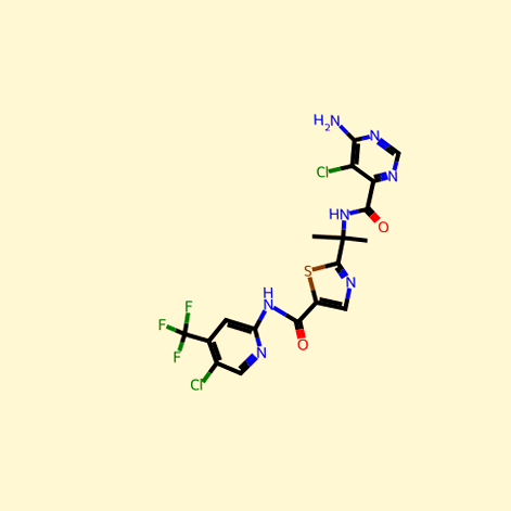 CC(C)(NC(=O)c1ncnc(N)c1Cl)c1ncc(C(=O)Nc2cc(C(F)(F)F)c(Cl)cn2)s1